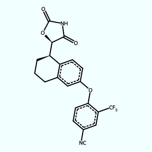 [C-]#[N+]c1ccc(Oc2ccc3c(c2)CCC[C@H]3[C@H]2OC(=O)NC2=O)c(C(F)(F)F)c1